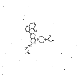 C=CC(=O)N1CCN(c2nc(OCC3(CN(C)C)CC3)nc3c2CCN(c2cccc4cccc(Cl)c24)C3)CC1